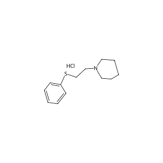 Cl.c1ccc(SCCN2CCCCC2)cc1